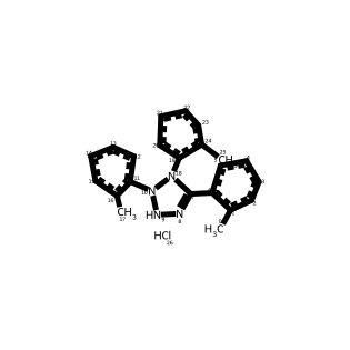 Cc1ccccc1C1=NNN(c2ccccc2C)N1c1ccccc1C.Cl